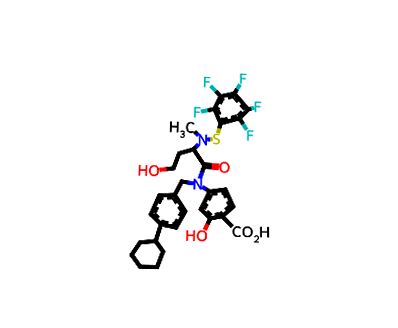 CN(Sc1c(F)c(F)c(F)c(F)c1F)C(CCO)C(=O)N(Cc1ccc(C2CCCCC2)cc1)c1ccc(C(=O)O)c(O)c1